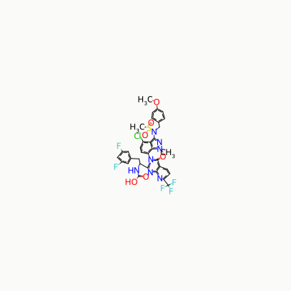 COc1ccc(CN(c2nn(C)c3c(-n4c(C(Cc5cc(F)cc(F)c5)NC(=O)O)nc5nc(C(F)(F)F)ccc5c4=O)ccc(Cl)c23)S(C)(=O)=O)cc1